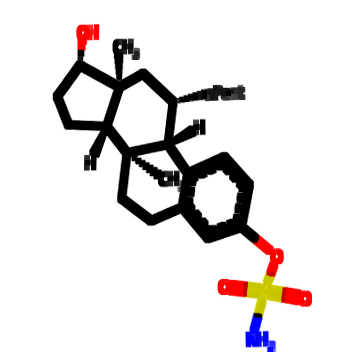 CCCCC[C@H]1C[C@@]2(C)[C@@H](CC[C@@H]2O)[C@]2(C)CCc3cc(OS(N)(=O)=O)ccc3[C@@H]12